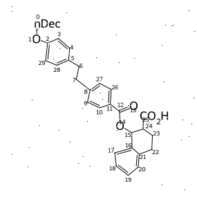 CCCCCCCCCCOc1ccc(CCc2ccc(C(=O)OC3c4ccccc4CCC3C(=O)O)cc2)cc1